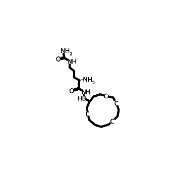 NC(=O)NCCC[C@H](N)C(=O)NBC1CCCCCCCCCCCCCC1